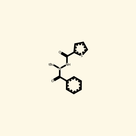 CC(C)(C)N(NC(=O)c1cccs1)C(=O)c1ccccc1